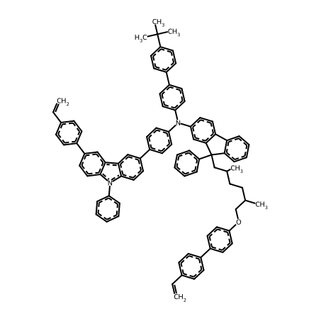 C=Cc1ccc(-c2ccc(OCC(C)CCC(C)CC3(c4ccccc4)c4ccccc4-c4ccc(N(c5ccc(-c6ccc(C(C)(C)C)cc6)cc5)c5ccc(-c6ccc7c(c6)c6cc(-c8ccc(C=C)cc8)ccc6n7-c6ccccc6)cc5)cc43)cc2)cc1